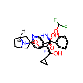 N=C(/C(COC1CC2CC[C@@H](C1)N2c1ccc(C(=O)O)cn1)=C(\O)C1CC1)c1ccccc1OC(F)F